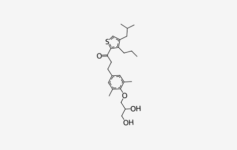 CCCc1c(CC(C)C)csc1C(=O)CCc1cc(C)c(OCC(O)CO)c(C)c1